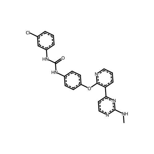 CNc1nccc(-c2cccnc2Oc2ccc(NC(=O)Nc3cccc(Cl)c3)cc2)n1